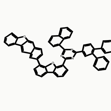 c1ccc(-c2ccc(-c3nc(-c4cccc5ccccc45)nc(-c4cccc5c4oc4c(-c6ccc7cc8oc9ccccc9c8cc7c6)cccc45)n3)cc2-c2ccccc2)cc1